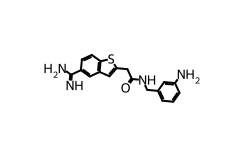 N=C(N)c1ccc2sc(CC(=O)NCc3cccc(N)c3)cc2c1